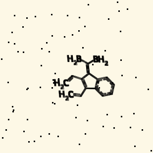 BC(B)=C1C(C=C)=C(C=C)c2ccccc21